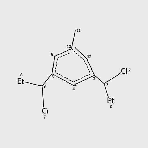 CCC(Cl)c1[c]c(C(Cl)CC)cc(C)c1